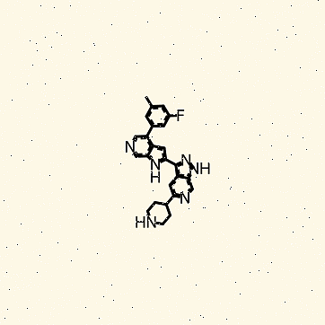 Cc1cc(F)cc(-c2cncc3[nH]c(-c4n[nH]c5cnc(C6CCNCC6)cc45)cc23)c1